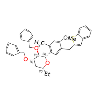 CC[C@@H]1C[C@H](OCc2ccccc2)[C@@H](OCc2ccccc2)[C@H](c2cc(Cc3cc4ccccc4s3)c(OC)cc2C)O1